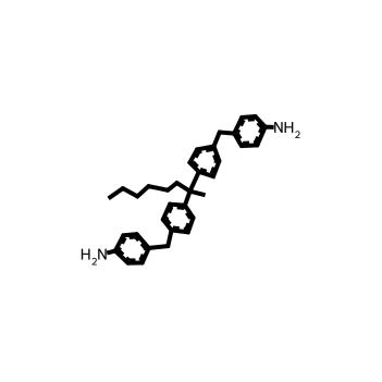 CCCCCCC(C)(c1ccc(Cc2ccc(N)cc2)cc1)c1ccc(Cc2ccc(N)cc2)cc1